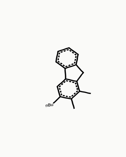 CCCCc1cc2c(c(C)c1C)Cc1ccccc1-2